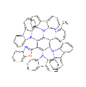 Cc1cccc(-c2c(-n3c4ccccc4c4ccccc43)c(-n3c4ccccc4c4ccccc43)c(-c3nc4ccccc4o3)c(-n3c4ccccc4c4ccccc43)c2-n2c3ccccc3c3ccccc32)n1